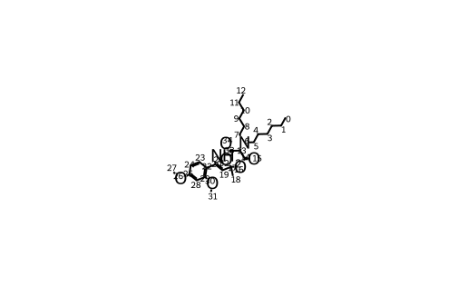 CCCCCCN(CCCCCC)C1C(=O)OC(C)(C=C(N)c2ccc(OC)cc2OC)OC1=O